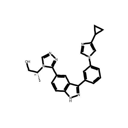 C[C@H](CO)n1cnnc1-c1ccc2[nH]nc(-c3cccc(-n4cnc(C5CC5)c4)c3)c2c1